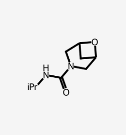 CC(C)NC(=O)N1CC2CC(C1)O2